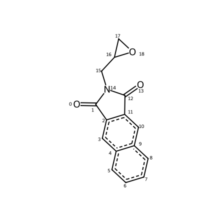 O=C1c2cc3ccccc3cc2C(=O)N1CC1CO1